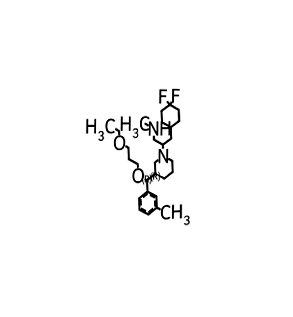 CCOCCCO[C@@H](c1cccc(C)c1)[C@@H]1CCCN(C(CNC)CC2CCC(F)(F)CC2)C1